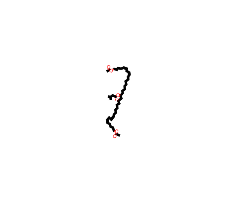 CC(=O)OCCCC/C=C\C/C=C\CCCCCCCCC(CCCCCCCC/C=C\C/C=C\CCCCOC(C)=O)OC(=O)CC(C)C